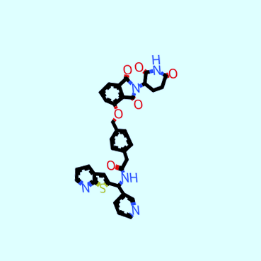 O=C1CCC(N2C(=O)c3cccc(OCc4ccc(CC(=O)NC(c5cccnc5)c5cc6cccnc6s5)cc4)c3C2=O)C(=O)N1